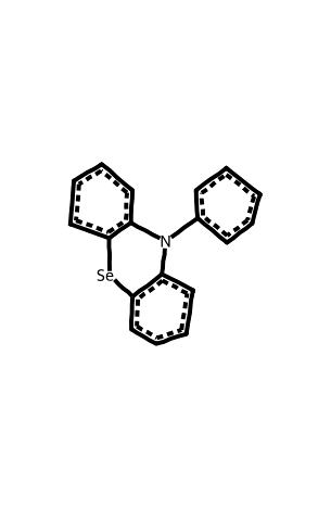 c1ccc(N2c3ccccc3[Se]c3ccccc32)cc1